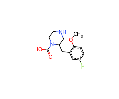 COc1ccc(F)cc1CC1CNCCN1C(=O)O